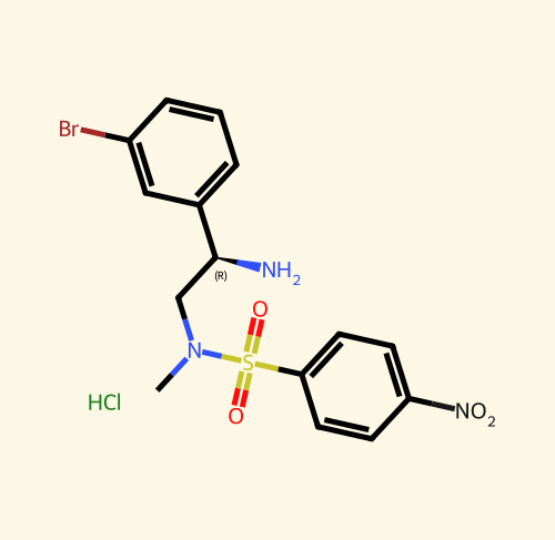 CN(C[C@H](N)c1cccc(Br)c1)S(=O)(=O)c1ccc([N+](=O)[O-])cc1.Cl